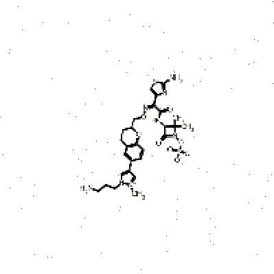 C[n+]1cc(-c2ccc3c(c2)CC[C@@H](CO/N=C(\C(=O)N[C@@H]2C(=O)N(OS(=O)(=O)[O-])C2(C)C)c2csc(N)n2)O3)cn1CCCN